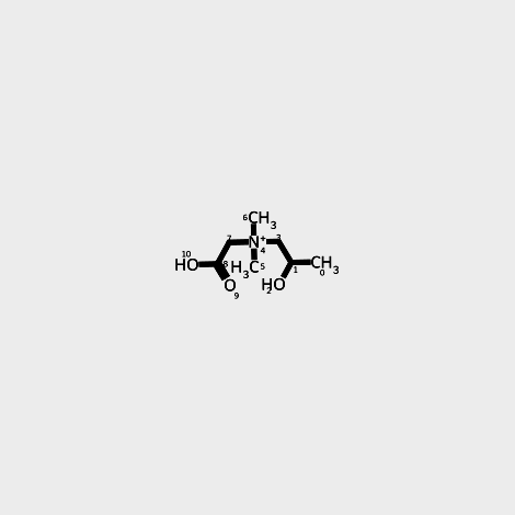 CC(O)C[N+](C)(C)CC(=O)O